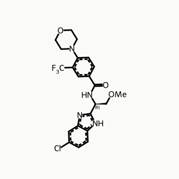 COC[C@H](NC(=O)c1ccc(N2CCOCC2)c(C(F)(F)F)c1)c1nc2cc(Cl)ccc2[nH]1